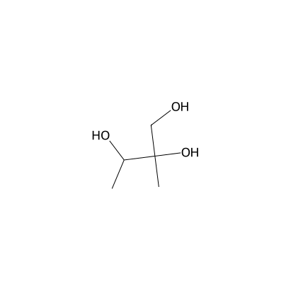 CC(O)C(C)(O)CO